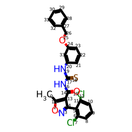 Cc1onc(-c2c(Cl)cccc2Cl)c1C(=O)NC(=S)Nc1cccc(OCc2ccccc2)c1